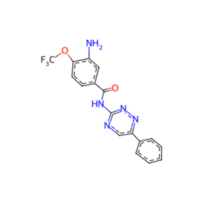 Nc1cc(C(=O)Nc2ncc(-c3ccccc3)nn2)ccc1OC(F)(F)F